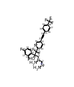 N/N=C\N(N)CC(O)(c1ccc(F)cc1F)C(F)(F)c1ccc(C#Cc2ccc(C(F)(F)F)cc2)cn1